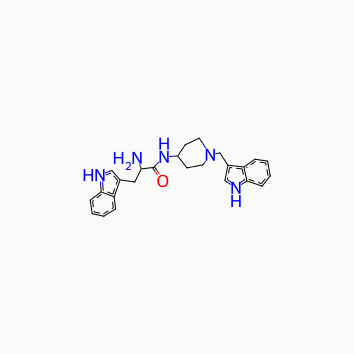 NC(Cc1c[nH]c2ccccc12)C(=O)NC1CCN(Cc2c[nH]c3ccccc23)CC1